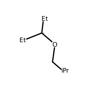 CC[C](CC)OCC(C)C